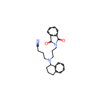 N#CCCCN(CCCN1C(=O)c2ccccc2C1=O)C1CCCc2ccccc21